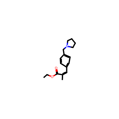 CCOC(=O)C(C)=Cc1ccc(CN2CCCC2)cc1